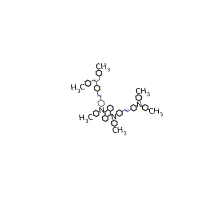 Cc1ccc(/C=C(/Cc2ccc(C)cc2)c2ccc(/C=C/C3CCC(N(c4ccc(C)cc4)c4c5ccccc5c(N(c5ccc(C)cc5)c5ccc(/C=C/c6ccc(N(c7ccc(C)cc7)c7ccc(C)cc7)cc6)cc5)c5ccccc45)CC3)cc2)cc1